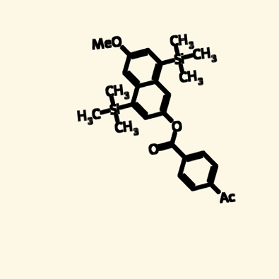 COc1cc([Si](C)(C)C)c2cc(OC(=O)c3ccc(C(C)=O)cc3)cc([Si](C)(C)C)c2c1